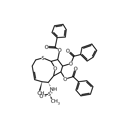 C[C@H]1/C=C/CCSC2OC(C(OC(=O)c3ccccc3)C(OC(=O)c3ccccc3)C2OC(=O)c2ccccc2)[C@@H]1N[S@@+](C)[O-]